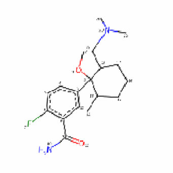 COC1(c2ccc(F)c(C(N)=O)c2)C(C)CCCC1CN(C)C